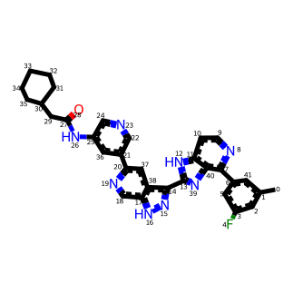 Cc1cc(F)cc(-c2nccc3[nH]c(-c4n[nH]c5cnc(-c6cncc(NC(=O)CC7CCCCC7)c6)cc45)nc23)c1